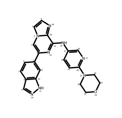 c1cn2cc(-c3ccc4cn[nH]c4c3)nc(Nc3ccc(N4CCOCC4)nc3)c2n1